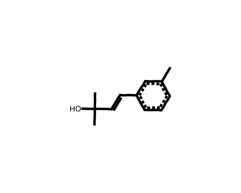 Cc1cccc(/C=C/C(C)(C)O)c1